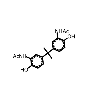 CC(=O)Nc1cc(C(C)(C)c2ccc(O)c(NC(C)=O)c2)ccc1O